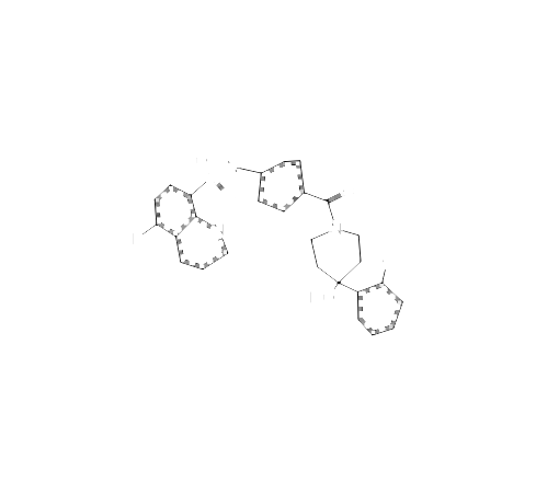 O=C(c1ccc(NS(=O)(=O)c2ccc(F)c3cccnc23)cc1)N1CCC(O)(c2ccccc2Cl)CC1